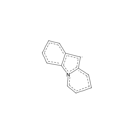 [c]1c2ccccc2n2ccccc12